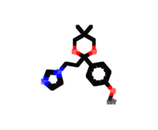 CCCOc1ccc(C2(CCn3ccnc3)OCC(C)(C)CO2)cc1